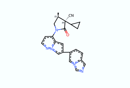 C[C@@H]1CN(c2ccnn3cc(-c4ccc5cncn5c4)cc23)C(=O)[C@]1(C#N)C1CC1